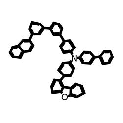 c1ccc(-c2ccc(N(c3ccc(-c4cccc(-c5cccc(-c6ccc7ccccc7c6)c5)c4)cc3)c3ccc(-c4cccc5oc6ccccc6c45)cc3)cc2)cc1